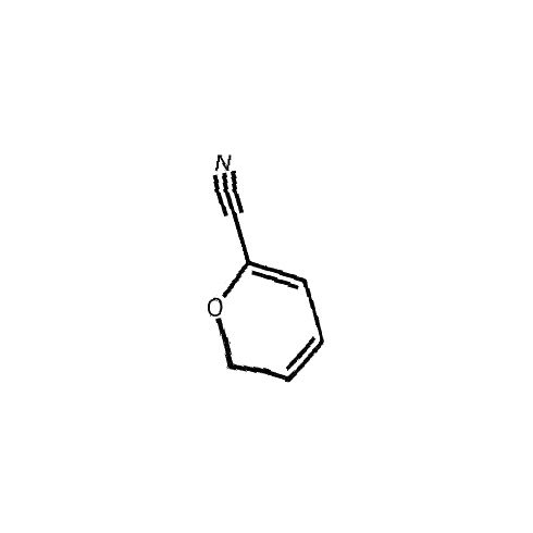 N#CC1=CC=CCO1